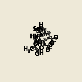 CC(O)C(=O)O.O=C([O-])C=Cc1c[nH]cn1.O=C([O-])C=Cc1c[nH]cn1.[Se+2]